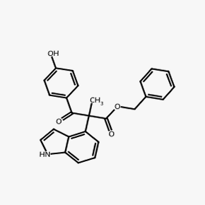 CC(C(=O)OCc1ccccc1)(C(=O)c1ccc(O)cc1)c1cccc2[nH]ccc12